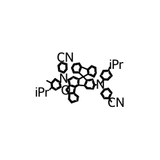 Cc1cc(N(c2ccc(C#N)cc2)c2cc3c(c4c2oc2ccccc24)-c2ccc(N(c4ccc(C#N)cc4)c4ccc(C(C)C)cc4)cc2C32c3ccccc3-c3ccccc32)ccc1C(C)C